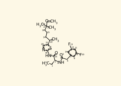 CC[C@H](NC(=O)Cc1cc(F)cc(F)c1)C(=O)Nc1ncc(C(C)CCCC(C)(C)OC)s1